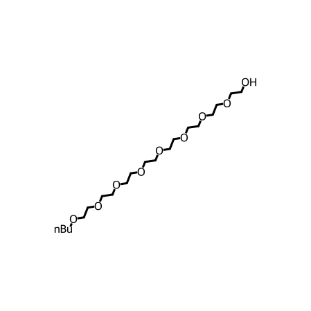 CCCCOCCOCCOCCOCCOCCOCCOCCOCCO